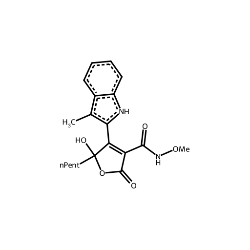 CCCCCC1(O)OC(=O)C(C(=O)NOC)=C1c1[nH]c2ccccc2c1C